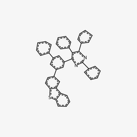 c1ccc(-c2cc(-c3ccc4sc5ccccc5c4c3)cc(-c3nc(-c4ccccc4)nc(-c4ccccc4)c3-c3ccccc3)c2)cc1